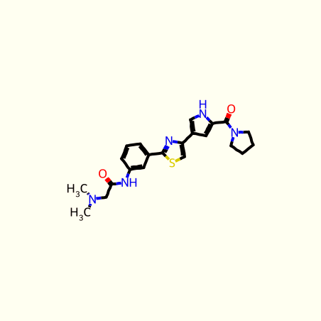 CN(C)CC(=O)Nc1cccc(-c2nc(-c3c[nH]c(C(=O)N4CCCC4)c3)cs2)c1